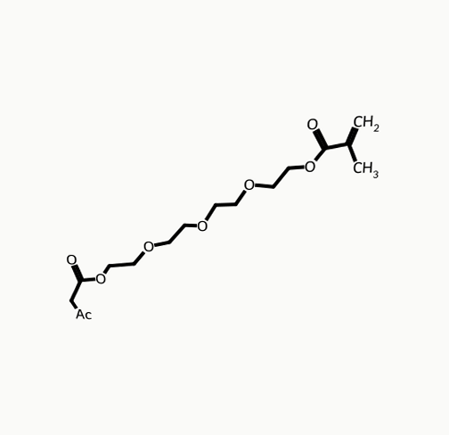 C=C(C)C(=O)OCCOCCOCCOCCOC(=O)CC(C)=O